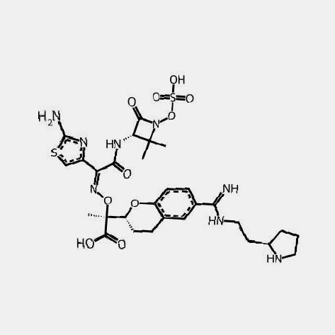 CC1(C)[C@H](NC(=O)/C(=N\O[C@](C)(C(=O)O)[C@H]2CCc3cc(C(=N)NCC[C@H]4CCCN4)ccc3O2)c2csc(N)n2)C(=O)N1OS(=O)(=O)O